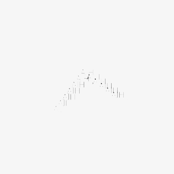 [AlH3].[AlH3].[AlH3].[AlH3].[AlH3].[AlH3].[AlH3].[AlH3].[AlH3].[AlH3].[AlH3].[Au]